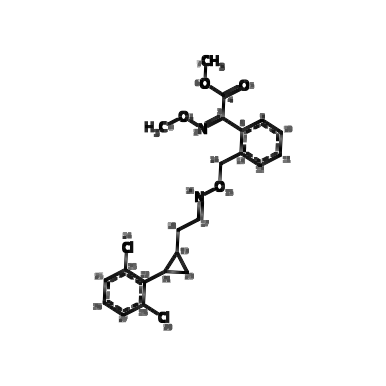 CON=C(C(=O)OC)c1ccccc1CON=CCC1CC1c1c(Cl)cccc1Cl